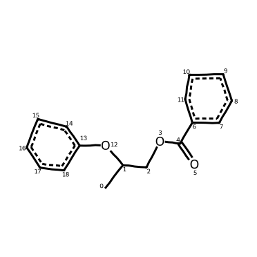 CC(COC(=O)c1ccccc1)Oc1ccccc1